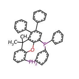 CC1(C)c2cccc(P)c2Oc2c(P(c3ccccc3)c3ccccc3)cc(-c3ccccc3)c(-c3ccccc3)c21